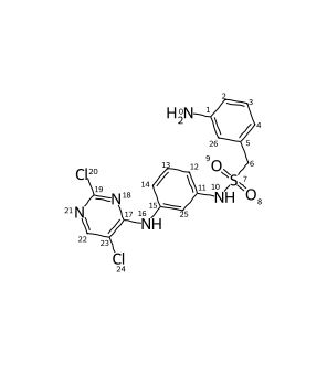 Nc1cccc(CS(=O)(=O)Nc2cccc(Nc3nc(Cl)ncc3Cl)c2)c1